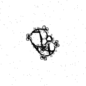 O=S1(=O)Cc2cc3cc(c2)CS(=O)(=O)Cc2cc4cc(c2)CS(=O)(=O)Cc2cc(cc(c2)CS(=O)(=O)Cc2cc(cc(c2)CS(=O)(=O)C4)C1)CS(=O)(=O)C3